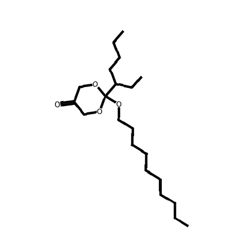 CCCCCCCCCCOC1(C(CC)CCCC)OCC(=O)CO1